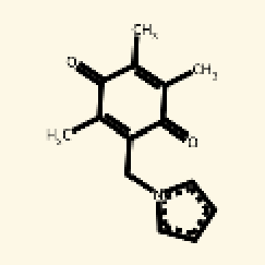 CC1=C(C)C(=O)C(Cn2cccc2)=C(C)C1=O